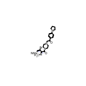 C/N=C(C(=O)N1CCN(CC(=O)c2ccc(N3CCCC3)cc2)CC1)\C(Br)=C/NC